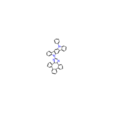 c1ccc(-n2c3ccccc3c3cc4c(cc32)c2ccccc2n4-c2cnc3c(n2)-c2ccccc2-c2ccccc2-c2ccccc2-3)cc1